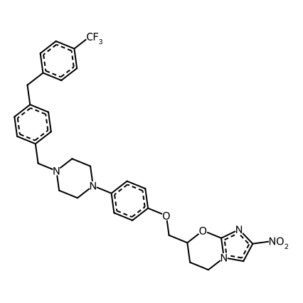 O=[N+]([O-])c1cn2c(n1)OC(COc1ccc(N3CCN(Cc4ccc(Cc5ccc(C(F)(F)F)cc5)cc4)CC3)cc1)CC2